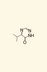 CC(C)c1ncn[nH]c1=O